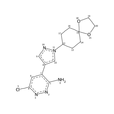 Nc1nnc(Cl)cc1-c1cnn(C2CCC3(CC2)OCCO3)c1